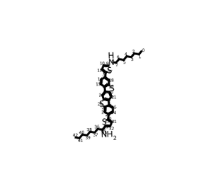 CCCCCCCCNc1ccc(-c2ccc3c(c2)sc2cc4c(cc23)sc2cc(-c3ccc(C(N)CCCCCCC)s3)ccc24)s1